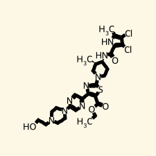 CCOC(=O)c1sc(N2CC[C@@H](NC(=O)c3[nH]c(C)c(Cl)c3Cl)[C@@H](C)C2)nc1-c1cnc(N2CCN(CCO)CC2)cn1